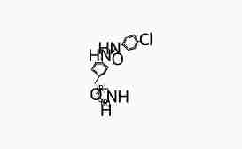 O=C(Nc1ccc(Cl)cc1)Nc1ccc(C[C@@]23CN[C@@H](CO2)C3)cc1